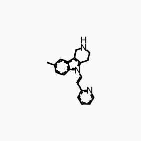 Cc1ccc2c(c1)c1c(n2C=Cc2ccccn2)CCNC1